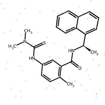 Cc1ccc(NC(=S)N(C)C)cc1C(=O)N[C@H](C)c1cccc2ccccc12